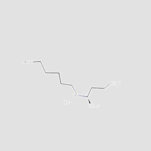 CCCCCCCCCCCCCCN[C@@H](CCC(=O)O)C(=O)[O-].[Na+]